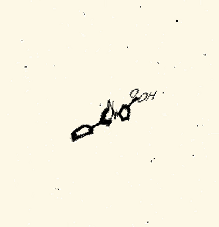 O=C(O)c1cccc(-n2cc(-c3ccccc3)cn2)c1